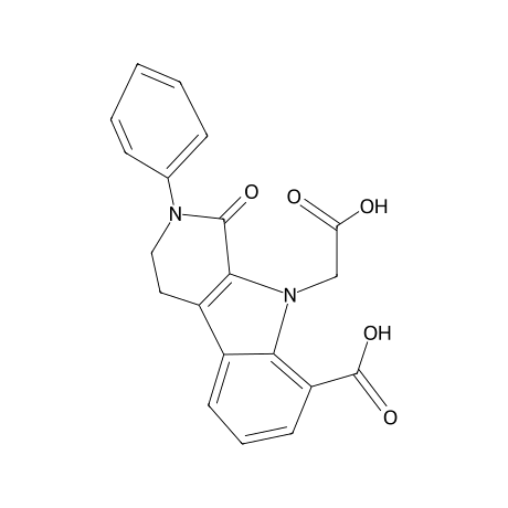 O=C(O)Cn1c2c(c3cccc(C(=O)O)c31)CCN(c1ccccc1)C2=O